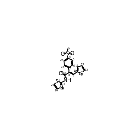 CS(=O)(=O)c1ccc(/C(=C\c2cccs2)C(=O)Nc2nccs2)cc1